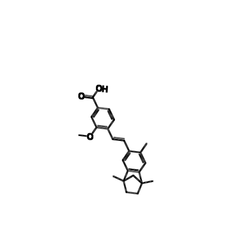 COc1cc(C(=O)O)ccc1/C=C/c1cc2c(cc1C)C1(C)CCC2(C)C1